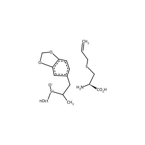 C=CCSC[C@H](N)C(=O)O.CCCCCCCC[S+]([O-])C(C)Cc1ccc2c(c1)OCO2